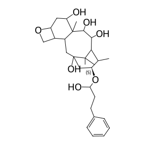 CC1C2C(O)C(O)C3(C)C(O)CC4OCC4C3CC(O)(C[C@@H]1OC(O)CCc1ccccc1)C2(C)C